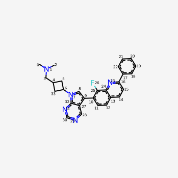 CN(C)CC1CC(n2cc(-c3ccc4ccc(-c5ccccc5)nc4c3F)c3cncnc32)C1